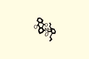 C=CCc1cccc(CC=C)c1C(=O)Nc1cccc2c1C(=O)c1ccccc1C2=O